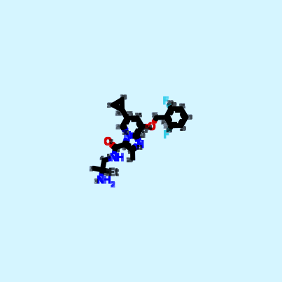 CCC(C)(N)CNC(=O)c1c(C)nc2c(OCc3c(F)cccc3F)cc(C3CC3)cn12